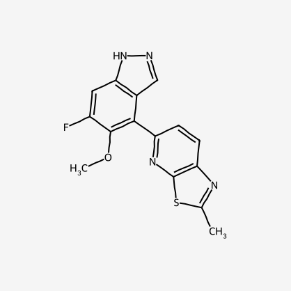 COc1c(F)cc2[nH]ncc2c1-c1ccc2nc(C)sc2n1